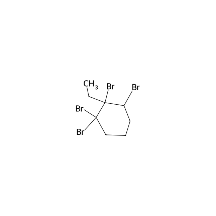 CCC1(Br)C(Br)CCCC1(Br)Br